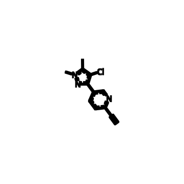 C#Cc1ccc(-c2nn(C)c(C)c2Cl)cn1